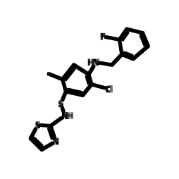 Cc1cc(NCc2ccccc2F)c(Cl)cc1SNc1nccs1